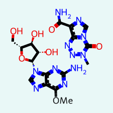 COc1nc(N)nc2c1ncn2[C@@H]1O[C@H](CO)[C@@H](O)[C@@H]1O.Cn1nnc2c(C(N)=O)ncn2c1=O